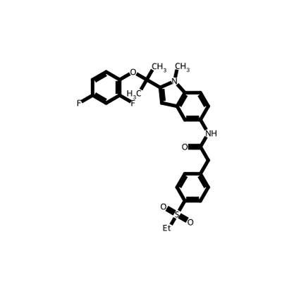 CCS(=O)(=O)c1ccc(CC(=O)Nc2ccc3c(c2)cc(C(C)(C)Oc2ccc(F)cc2F)n3C)cc1